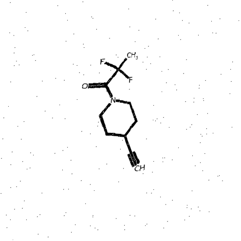 C#CC1CCN(C(=O)C(C)(F)F)CC1